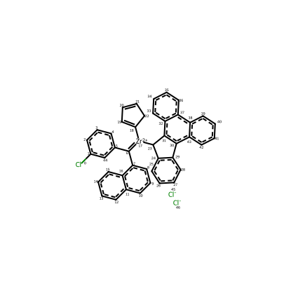 Clc1cccc(/[C](c2cccc3ccccc23)=[Zr+2](\[C]2=CC=CC2)[CH]2c3ccccc3-c3c2c2ccccc2c2ccccc32)c1.[Cl-].[Cl-]